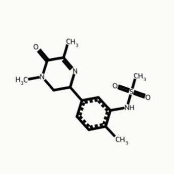 CC1=NC(c2ccc(C)c(NS(C)(=O)=O)c2)CN(C)C1=O